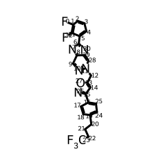 Fc1cccc(-c2nc3cnn(Cc4cc(-c5ccc(CCCC(F)(F)F)cc5)no4)cc-3n2)c1F